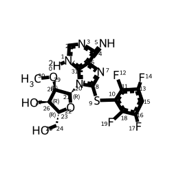 [2H]n1cnc(=N)c2nc(Sc3c(F)c(F)cc(F)c3F)n([C@@H]3O[C@H](CO)[C@@H](O)[C@H]3OC)c21